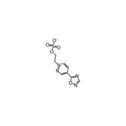 O=S(=O)([O-])OCC[n+]1ccc(-c2ncno2)cn1